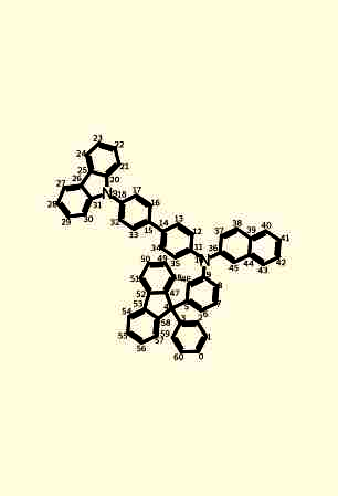 c1ccc(C2(c3cccc(N(c4ccc(-c5ccc(-n6c7ccccc7c7ccccc76)cc5)cc4)c4ccc5ccccc5c4)c3)c3ccccc3-c3ccccc32)cc1